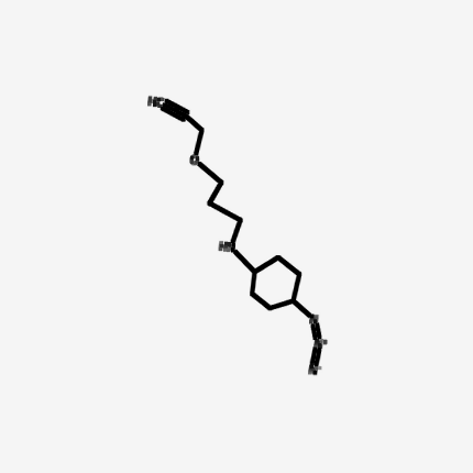 C#CCOCCCNC1CCC(N=[N+]=[N-])CC1